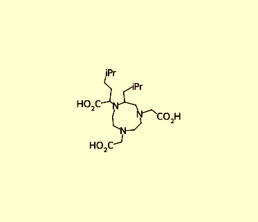 CC(C)CCC(C(=O)O)N1CCN(CC(=O)O)CCN(CC(=O)O)CC1CC(C)C